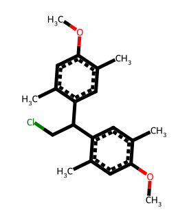 COc1cc(C)c(C(CCl)c2cc(C)c(OC)cc2C)cc1C